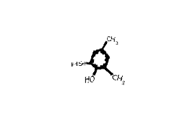 Cc1cc(C)c(O)c([SeH])c1